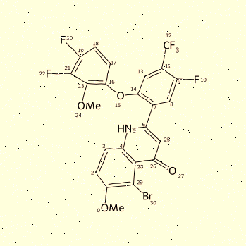 COc1ccc2[nH]c(-c3cc(F)c(C(F)(F)F)cc3Oc3ccc(F)c(F)c3OC)cc(=O)c2c1Br